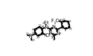 CCN(c1nc(C)nc(-c2ccccc2C(F)(F)F)n1)c1ccc(N(C)C)cc1C(F)(F)F